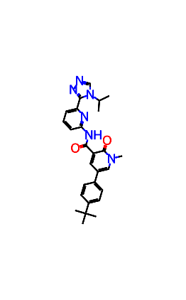 CC(C)n1cnnc1-c1cccc(NC(=O)c2cc(-c3ccc(C(C)(C)C)cc3)cn(C)c2=O)n1